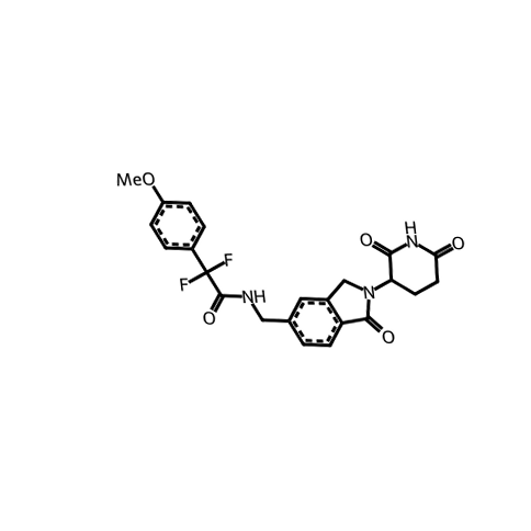 COc1ccc(C(F)(F)C(=O)NCc2ccc3c(c2)CN(C2CCC(=O)NC2=O)C3=O)cc1